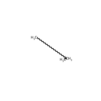 CCCCCCCCCCCCCCCCCCCCCCCCCCCCC[CH]N(C)C